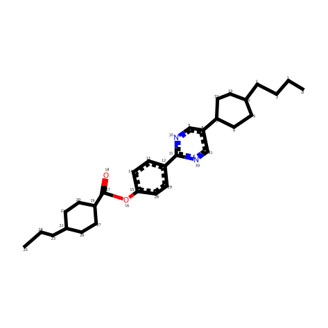 CCCCC1CCC(c2cnc(-c3ccc(OC(=O)C4CCC(CCC)CC4)cc3)nc2)CC1